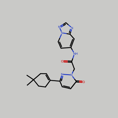 CC1(C)CC=C(c2ccc(=O)n(CC(=O)Nc3ccn4ncnc4c3)n2)CC1